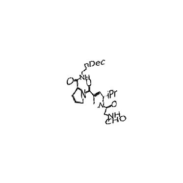 CCCCCCCCCCCCNC(=O)[C@@H]1CCCN1C(=O)/C(C)=C/[C@H](C(C)C)N(C)C(=O)CNC=O